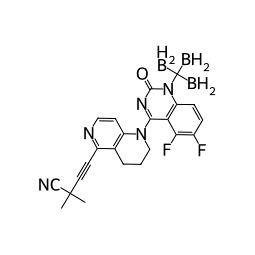 BC(B)(B)n1c(=O)nc(N2CCCc3c2ccnc3C#CC(C)(C)C#N)c2c(F)c(F)ccc21